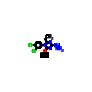 CCc1nc(NN)nc(=O)n1-c1ccc(Cl)c(Cl)c1.c1cc2ccc1-2